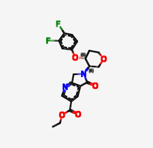 CCOC(=O)c1cnc2c(c1)C(=O)N([C@@H]1COCC[C@H]1Oc1ccc(F)c(F)c1)C2